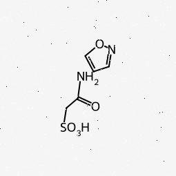 NC(=O)CS(=O)(=O)O.c1cnoc1